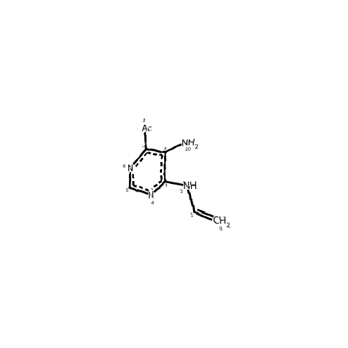 C=CNc1ncnc(C(C)=O)c1N